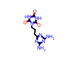 Nc1nc(N)nc(CCCn2c(=O)[nH]c(=O)[nH]c2=O)n1